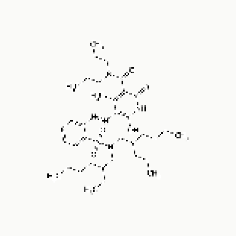 CCCCC(CC)CN(CC(CCC)CCCC)S(=O)(=O)c1ccccc1/N=N/c1c(O)[nH]c(=O)c(C(=O)N(CCC)CCC)c1C